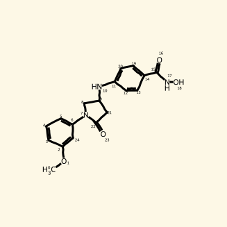 COc1cccc(N2CC(Nc3ccc(C(=O)NO)cc3)CC2=O)c1